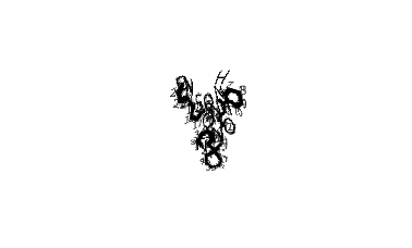 C[C@@](Cc1c[nH]c2ccccc12)(NS(=O)(=O)c1ccc(-c2ccon2)s1)C(=O)NCC1(c2ccccn2)CCCCC1